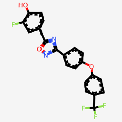 Oc1ccc(-c2nc(-c3ccc(Oc4ccc(C(F)(F)F)cc4)cc3)no2)cc1F